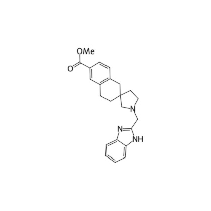 COC(=O)c1ccc2c(c1)CCC1(CCN(Cc3nc4ccccc4[nH]3)C1)C2